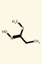 CCC(=NO)SC